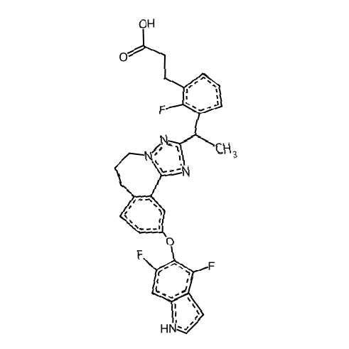 CC(c1nc2n(n1)CCCc1ccc(Oc3c(F)cc4[nH]ccc4c3F)cc1-2)c1cccc(CCC(=O)O)c1F